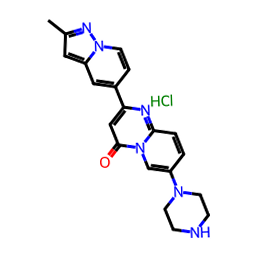 Cc1cc2cc(-c3cc(=O)n4cc(N5CCNCC5)ccc4n3)ccn2n1.Cl